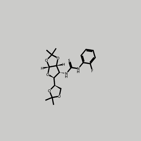 CC1(C)O[C@H]2O[C@H]([C@H]3COC(C)(C)O3)[C@@H](NC(=S)Nc3ccccc3F)[C@H]2O1